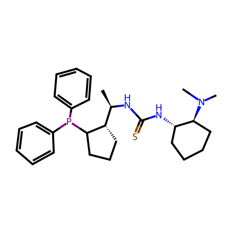 C[C@@H](NC(=S)N[C@H]1CCCC[C@@H]1N(C)C)[C@@H]1CCCC1P(c1ccccc1)c1ccccc1